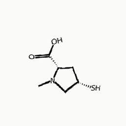 CN1C[C@@H](S)C[C@H]1C(=O)O